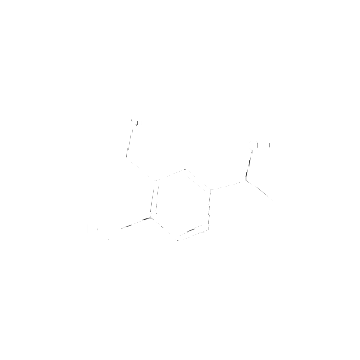 CC(O)c1ccc(C(=O)O)c(C[N+](=O)[O-])c1